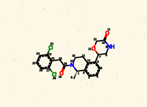 C[C@H]1c2cccc(C3CNC(=O)CO3)c2CCN1C(=O)Cc1c(Cl)cccc1Cl